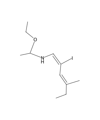 CCOC(C)N/C=C(I)\C=C(/C)CC